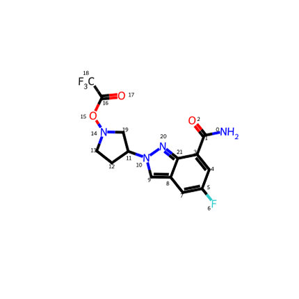 NC(=O)c1cc(F)cc2cn(C3CCN(OC(=O)C(F)(F)F)C3)nc12